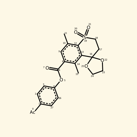 CC(=O)c1ccc(OC(=O)c2cc(C)c3c(c2C)C2(CCS3(=O)=O)OCCO2)cc1